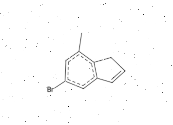 Cc1cc(Br)cc2c1CC=C2